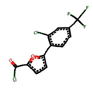 O=C(Cl)c1ccc(-c2ccc(C(F)(F)F)cc2Cl)o1